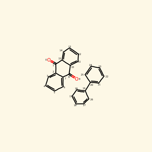 O=C1c2ccccc2C(=O)c2ccccc21.c1ccc(-c2ccccc2)cc1